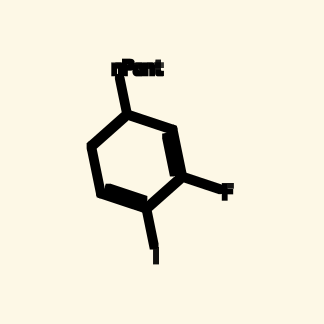 CCCCCC1C=C(F)C(I)=CC1